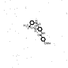 COc1ccc(C(=O)Nc2ccc(S(=O)(=O)Nc3cccc(C(C)(C)F)c3)c(C)c2)cc1